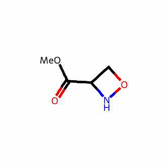 COC(=O)C1CON1